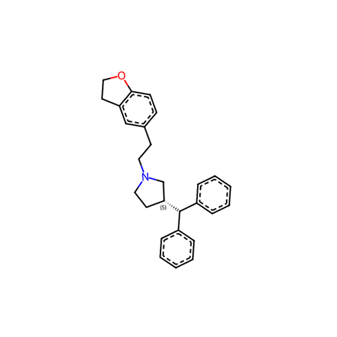 c1ccc(C(c2ccccc2)[C@@H]2CCN(CCc3ccc4c(c3)CCO4)C2)cc1